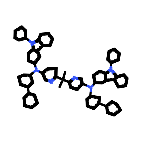 C[Si](C)(c1ccc(N(c2cccc(-c3ccccc3)c2)c2ccc3c(c2)c2ccccc2n3-c2ccccc2)cn1)c1ccc(N(c2cccc(-c3ccccc3)c2)c2ccc3c(c2)c2ccccc2n3-c2ccccc2)cn1